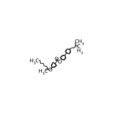 CCCCCC[C@@H](C)Oc1ccc(C(=O)Oc2ccc(-c3ccc(CC[C@@H](C)CC)cc3)cc2)cc1